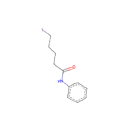 O=C(CCCCI)Nc1ccccc1